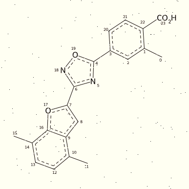 Cc1cc(-c2nc(-c3cc4c(C)ccc(C)c4o3)no2)ccc1C(=O)O